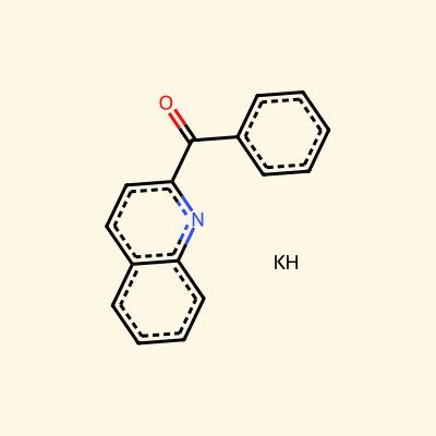 O=C(c1ccccc1)c1ccc2ccccc2n1.[KH]